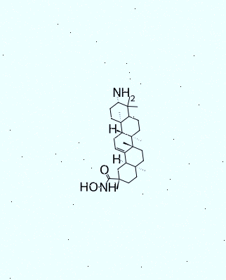 CC1(C)C2CC[C@]3(C)[C@H](CC=C4[C@@H]5C[C@@](C)(C(=O)NO)CC[C@]5(C)CC[C@]43C)[C@@]2(C)CC[C@@H]1N